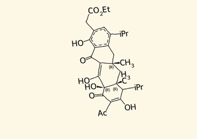 CCOC(=O)Cc1cc(C(C)C)c2c(c1O)C(=O)C1=C(O)[C@@]3(O)C(=O)C(C(C)=O)=C(O)C(C(C)C)[C@@]3(C)C[C@@]1(C)C2